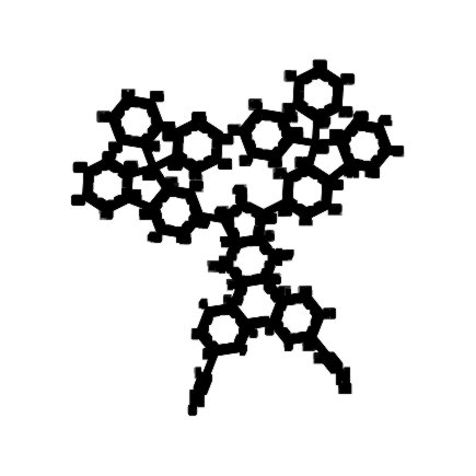 N#Cc1ccc2c(c1)c1cc(C#N)ccc1c1nc3c(-c4ccc5c(c4)C(c4ccccc4)(c4ccccc4)c4ccccc4-5)sc(-c4ccc5c(c4)C(c4ccccc4)(c4ccccc4)c4ccccc4-5)c3nc21